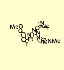 CCc1c(F)ccc2cc(OCOC)cc(N3CCc4c(nc(OC[C@@]56CCCN5C[C@H](F)C6)nc4N4CCCn5nc(NC)cc5C4)C3)c12